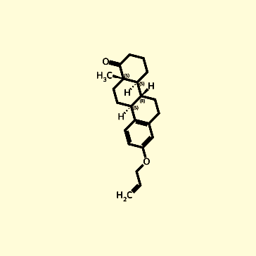 C=CCOc1ccc2c(c1)CC[C@@H]1[C@@H]2CC[C@]2(C)C(=O)CCC[C@@H]12